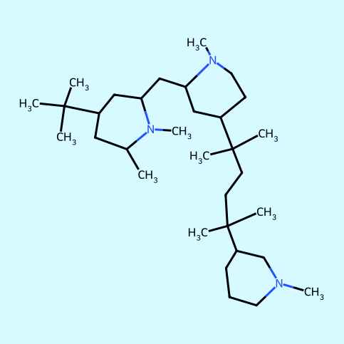 CC1CC(C(C)(C)C)CC(CC2CC(C(C)(C)CCC(C)(C)C3CCCN(C)C3)CCN2C)N1C